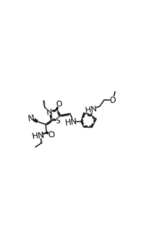 CCNC(=O)C(C#N)=c1sc(=CNc2cccc(NCCOC)c2)c(=O)n1CC